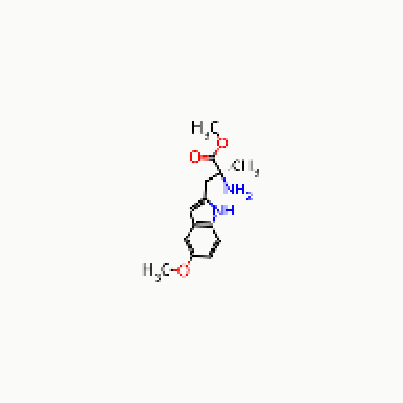 COC(=O)[C@@](C)(N)Cc1cc2cc(OC)ccc2[nH]1